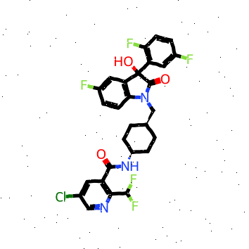 O=C(N[C@H]1CC[C@H](CN2C(=O)C(O)(c3cc(F)ccc3F)c3cc(F)ccc32)CC1)c1cc(Cl)cnc1C(F)F